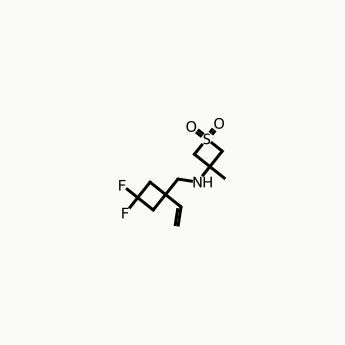 C=CC1(CNC2(C)CS(=O)(=O)C2)CC(F)(F)C1